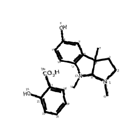 CN1CCC2(C)c3cc(O)ccc3N(C)C12.O=C(O)c1ccccc1O